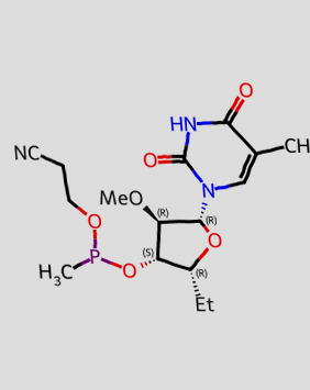 CC[C@H]1O[C@@H](n2cc(C)c(=O)[nH]c2=O)[C@H](OC)[C@H]1OP(C)OCCC#N